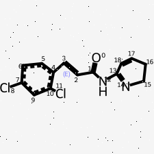 O=C(/C=C/c1ccc(Cl)cc1Cl)NC1=NCCC=C1